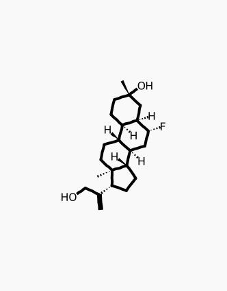 C=C(CO)[C@H]1CC[C@H]2[C@@H]3C[C@@H](F)[C@@H]4C[C@@](C)(O)CC[C@@H]4[C@H]3CC[C@]12C